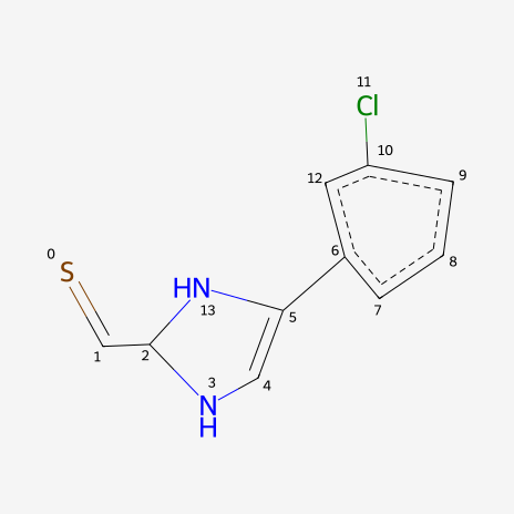 S=CC1NC=C(c2cccc(Cl)c2)N1